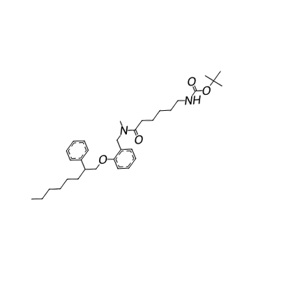 CCCCCCC(COc1ccccc1CN(C)C(=O)CCCCCNC(=O)OC(C)(C)C)c1ccccc1